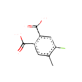 Cc1cc(C(=O)O)c(C(=O)O)cc1F